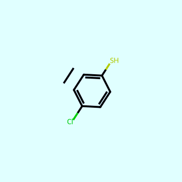 CC.Sc1ccc(Cl)cc1